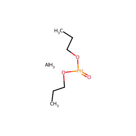 CCCO[PH](=O)OCCC.[AlH3]